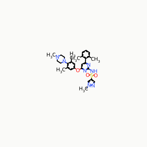 Cc1cccc(C)c1-c1cc(Oc2cc(C)c(N3CCN(C)CC3)c(C)c2)nc(NS(=O)(=O)c2cnn(C)c2)n1